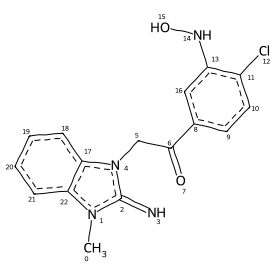 Cn1c(=N)n(CC(=O)c2ccc(Cl)c(NO)c2)c2ccccc21